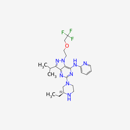 CC[C@H]1CN(c2nc(Nc3ccccn3)c3c(n2)c(C(C)C)nn3CCOCC(F)(F)F)CCN1